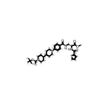 COC(=O)[C@H](CNC(=O)c1ccc(N2CCC(C3CCN(C(=O)OC(C)(C)C)CC3)CC2)cc1)NC(=O)c1cccs1